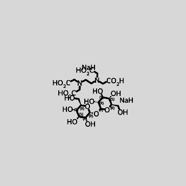 O=C(O)CN(CCN(CC(=O)O)CC(=O)O)CC(=O)O.OC[C@H]1O[C@H](O[C@H]2O[C@H](CO)[C@@H](O)[C@H](O)[C@H]2O)[C@H](O)[C@@H](O)[C@@H]1O.[NaH].[NaH]